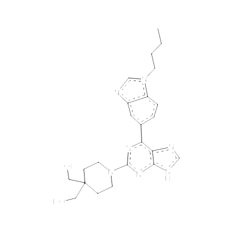 CCCCn1cnc2cc(-c3nc(N4CCC(CO)(CO)CC4)nc4[nH]cnc34)ccc21